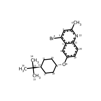 Cc1cc(Br)c2cc(O[C@H]3CC[C@H](C(C)(C)C)CC3)ccc2n1